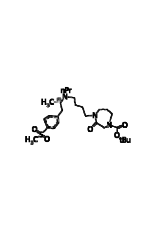 CCCN(CCCCN1CCCN(C(=O)OC(C)(C)C)CC1=O)[C@@H](C)Cc1ccc(S(C)(=O)=O)cc1